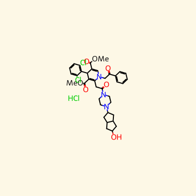 COC(=O)C1=CN(CC(=O)c2ccccc2)C(CC(=O)N2CCN(C3CC4CC(O)CC4C3)CC2)=C(C(=O)OC)C1c1c(Cl)cccc1Cl.Cl